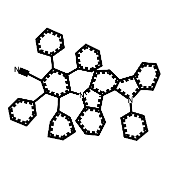 N#Cc1c(-c2ccccc2)c(-c2ccccc2)c(-n2c3ccccc3c3c2ccc2c4ccccc4n(-c4ccccc4)c23)c(-c2ccccc2)c1-c1ccccc1